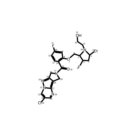 CCC1CC(F)C(COc2cc(F)ccc2C(=O)N2Cc3nn4cc(Cl)cnc4c3C2)N1CCO